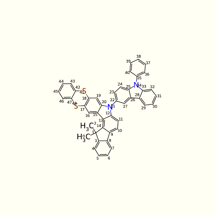 CC1(C)c2ccccc2-c2ccc3c(c21)c1cc2c(cc1n3-c1ccc3c(c1)c1ccccc1n3-c1ccccc1)Sc1ccccc1S2